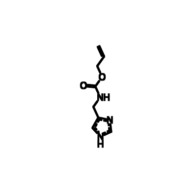 C=CCOC(=O)NCc1c[nH]cn1